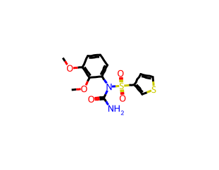 COc1cccc(N(C(N)=O)S(=O)(=O)c2ccsc2)c1OC